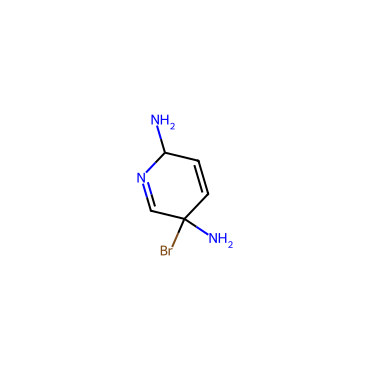 NC1C=CC(N)(Br)C=N1